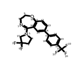 FC1(F)CCN(C2=NCCOc3ccc(-c4ccc(C(F)(F)F)cc4)cc32)C1